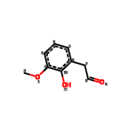 COc1cccc(CC=O)c1O